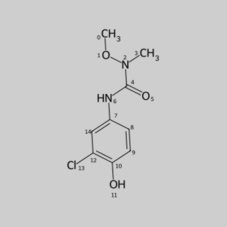 CON(C)C(=O)Nc1ccc(O)c(Cl)c1